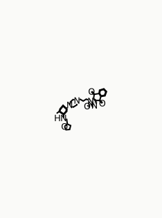 Cc1ccc(N2CCN(CCCn3c4c(n[n+]3[O-])C(=O)c3ccccc3C4=O)CC2)cc1NCC1CCCO1